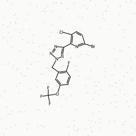 Fc1ccc(OC(F)(F)F)cc1Cn1nnc(-c2nc(Br)ccc2Cl)n1